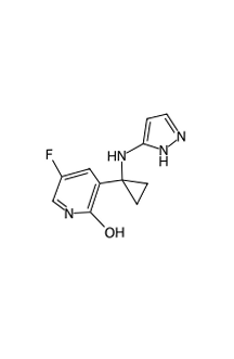 Oc1ncc(F)cc1C1(Nc2ccn[nH]2)CC1